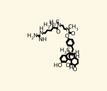 CN(CCN(C)C(=O)[C@@H](N)CCCNC(=N)N)C(=O)Oc1ccc(C[N@@+]2(C)CC[C@]34c5c6ccc(O)c5O[C@H]3C(=O)CC[C@H]4[C@H]2C6)cc1